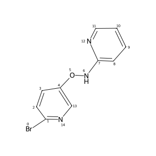 Brc1ccc(ONc2ccccn2)cn1